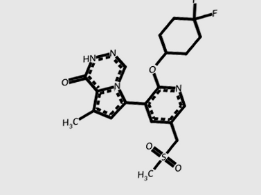 Cc1cc(-c2cc(CS(C)(=O)=O)cnc2OC2CCC(F)(F)CC2)n2cn[nH]c(=O)c12